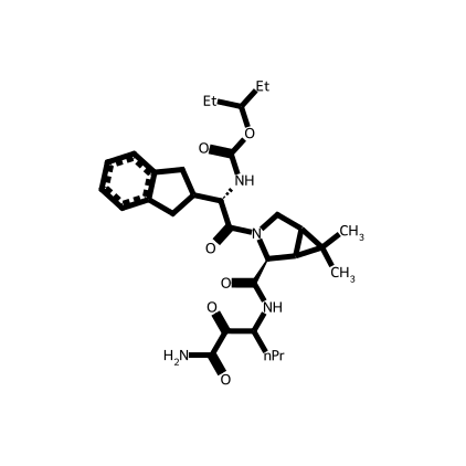 CCCC(NC(=O)[C@@H]1C2C(CN1C(=O)[C@@H](NC(=O)OC(CC)CC)C1Cc3ccccc3C1)C2(C)C)C(=O)C(N)=O